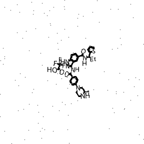 CCC(NC(=O)c1ccc2[nH]nc(NC(=O)c3ccc(N4CCN[C@H](C)C4)cc3)c2c1)c1cccs1.O=C(O)C(F)(F)F